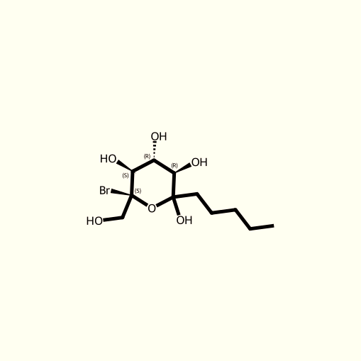 CCCCCC1(O)O[C@](Br)(CO)[C@@H](O)[C@H](O)[C@H]1O